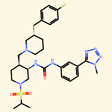 CC(C)S(=O)(=O)N1CC[C@@H](CN2CCC[C@@H](Cc3ccc(F)cc3)C2)[C@@H](NC(=O)Nc2cccc(-c3nnnn3C)c2)C1